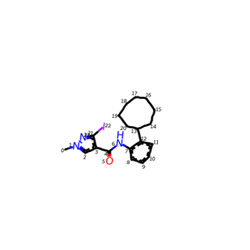 Cn1cc(C(=O)Nc2ccccc2C2CCCCCCC2)c(I)n1